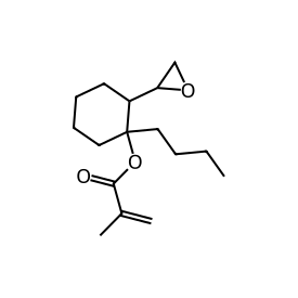 C=C(C)C(=O)OC1(CCCC)CCCCC1C1CO1